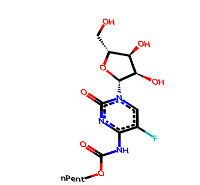 CCCCCOC(=O)Nc1nc(=O)n([C@@H]2O[C@H](CO)[C@@H](O)[C@H]2O)cc1F